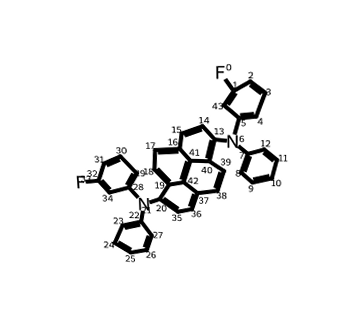 Fc1cccc(N(c2ccccc2)c2ccc3ccc4c(N(c5ccccc5)c5cccc(F)c5)ccc5ccc2c3c54)c1